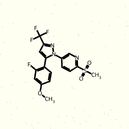 COc1ccc(-c2cc(C(F)(F)F)nn2-c2ccc(S(C)(=O)=O)nc2)c(F)c1